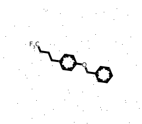 FC(F)(F)CCCc1ccc(OCc2ccccc2)cc1